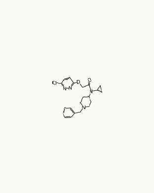 O=C(COc1ccc(Cl)nn1)N(C1CC1)C1CCN(Cc2ccccc2)CC1